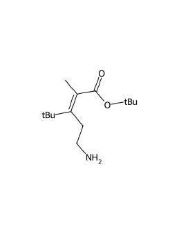 CC(C(=O)OC(C)(C)C)=C(CCN)C(C)(C)C